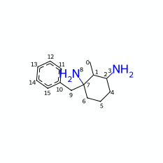 CC1C(N)CCCC1(N)Cc1ccccc1